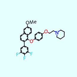 COc1ccc2c(Oc3ccc(OCCN4CCCCC4)cc3)c(-c3cc(F)c(F)c(F)c3)ccc2c1